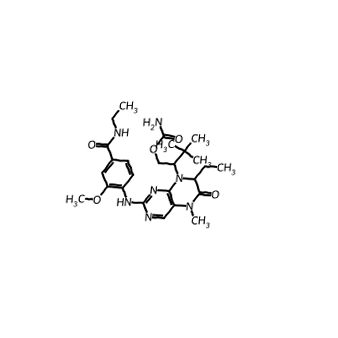 CCNC(=O)c1ccc(Nc2ncc3c(n2)N(C(COC(N)=O)C(C)(C)C)C(CC)C(=O)N3C)c(OC)c1